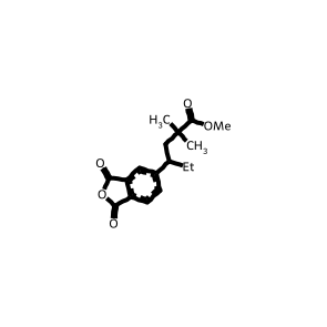 CCC(CC(C)(C)C(=O)OC)c1ccc2c(c1)C(=O)OC2=O